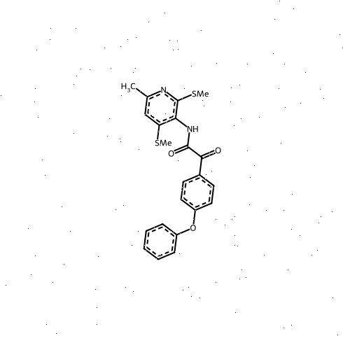 CSc1cc(C)nc(SC)c1NC(=O)C(=O)c1ccc(Oc2ccccc2)cc1